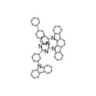 c1ccc(-c2ccc(-c3nc(-c4cccc(-n5c6ccccc6c6ccccc65)c4)nc(-n4c5ccccc5c5ccc6c7ccccc7n(-c7ccccc7)c6c54)n3)cc2)cc1